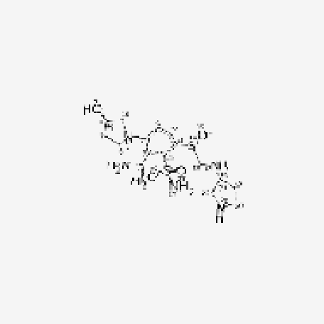 N=C(N)c1c(N2CC[C@@H](O)C2)ccc([S+]([O-])CN[C@@H]2CCNC2)c1S(N)(=O)=O